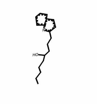 CCCCCC(O)CCCc1ccc2ccccc2n1